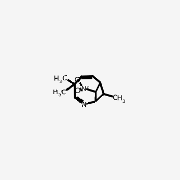 CC1C2/C=C\C(C)(C)/C=N\C1C2[N+](=O)[O-]